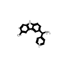 NC(c1ccncc1)c1ccc2oc3ccc(Cl)cc3c2c1